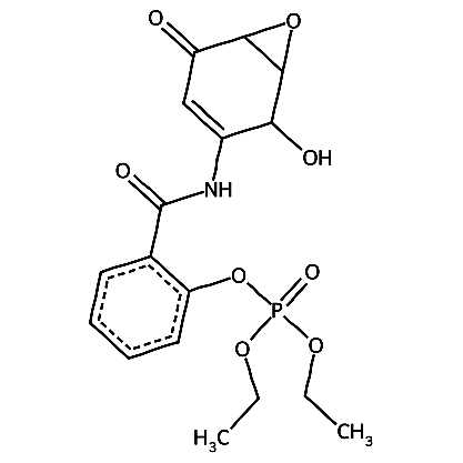 CCOP(=O)(OCC)Oc1ccccc1C(=O)NC1=CC(=O)C2OC2C1O